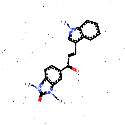 Cn1cc(C=CC(=O)c2ccc3c(c2)n(C)c(=O)n3C)c2ccccc21